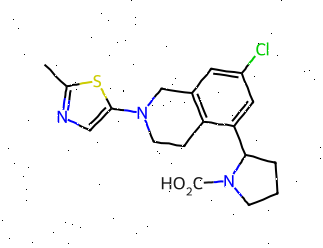 Cc1ncc(N2CCc3c(cc(Cl)cc3C3CCCN3C(=O)O)C2)s1